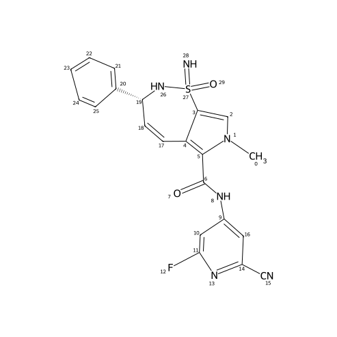 Cn1cc2c(c1C(=O)Nc1cc(F)nc(C#N)c1)C=C[C@H](c1ccccc1)NS2(=N)=O